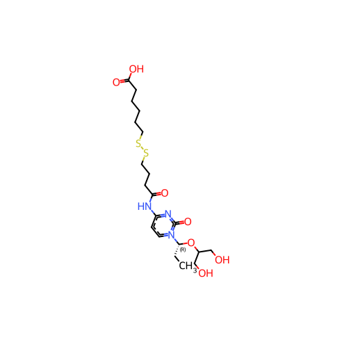 CC[C@@H](OC(CO)CO)n1ccc(NC(=O)CCCSSCCCCCC(=O)O)nc1=O